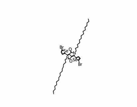 CCCCCCCCCCCCCCCCN1C(=O)C2=C(c3ccc(Br)[se]3)N(CCCCCCCCCCCCCCCC)C(=O)C2=C1c1ccc(Br)[se]1